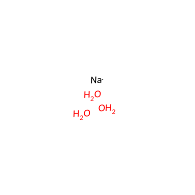 O.O.O.[Na]